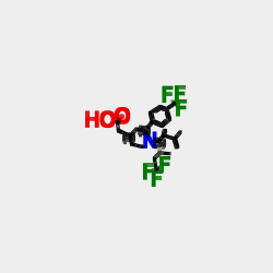 C=C(C)C(=C)[C@H](C(C)CC(F)(F)F)N1CC[C@@H](CC(=O)O)C[C@H]1c1ccc(C(F)(F)F)cc1